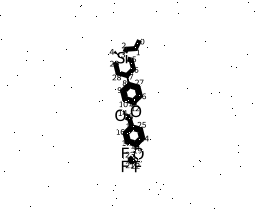 CCC[Si@]1(C)CC[C@@H](c2ccc(OC(=O)c3ccc(OC(F)(F)F)cc3)cc2)CC1